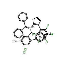 CC(C)(C)c1ccc2c(c1)[CH]([Hf+2]([C]1=C(c3c(F)c(F)c(F)c(F)c3F)C=CC1)=[C](c1ccccc1)c1ccccc1)c1cc(C(C)(C)C)ccc1-2.[Cl-].[Cl-]